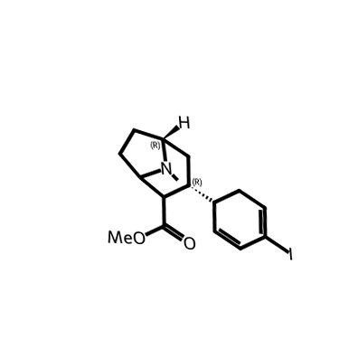 COC(=O)C1C2CC[C@H](C[C@@H]1C1C=CC(I)=CC1)N2C